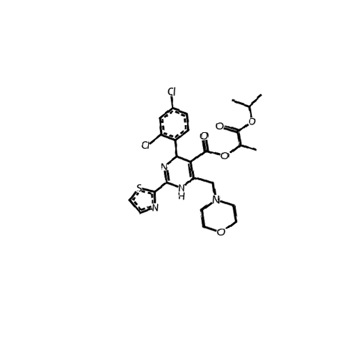 CC(C)OC(=O)C(C)OC(=O)C1=C(CN2CCOCC2)NC(c2nccs2)=NC1c1ccc(Cl)cc1Cl